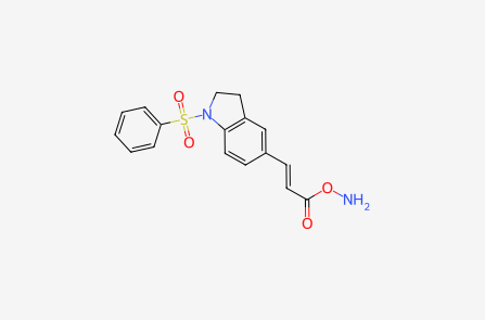 NOC(=O)/C=C/c1ccc2c(c1)CCN2S(=O)(=O)c1ccccc1